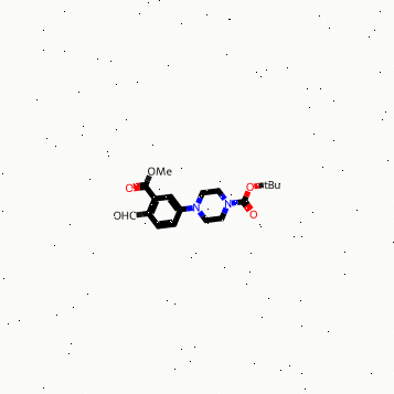 COC(=O)c1cc(N2CCN(C(=O)OC(C)(C)C)CC2)ccc1C=O